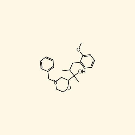 COc1ccccc1CC(C)C(C)(O)C1CN(Cc2ccccc2)CCO1